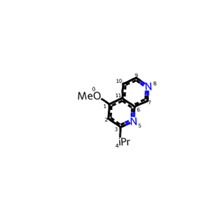 COc1cc(C(C)C)nc2cnccc12